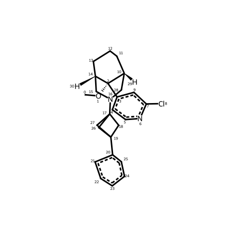 CO[C@@]1(c2ccnc(Cl)c2)[C@@H]2CCC[C@H]1CN(C13CC(c4ccccc4)(C1)C3)C2